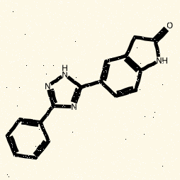 O=C1Cc2cc(-c3nc(-c4ccccc4)n[nH]3)ccc2N1